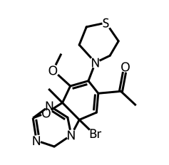 COC1=C(N2CCSCC2)C(C(C)=O)=CC2(Br)N3C=NC(=NC3)OC12C